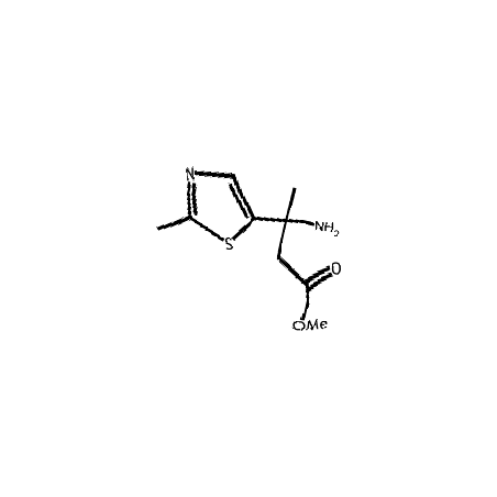 COC(=O)CC(C)(N)c1cnc(C)s1